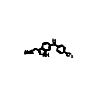 CNCc1c[nH]c2cc(Nc3ccc(C(F)(F)F)cc3)ccc12